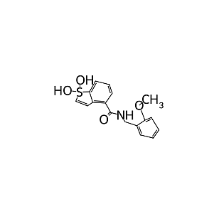 COc1ccccc1CNC(=O)c1cccc2c1C=CS2(O)O